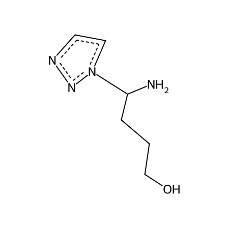 NC(CCCO)n1ccnn1